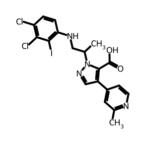 Cc1cc(-c2cnn(C(C)CNc3ccc(Cl)c(Cl)c3I)c2C(=O)O)ccn1